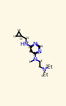 CCN(CC)CCN(C)c1cc(NCC2CC2)ncn1